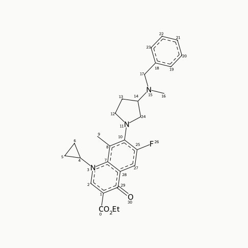 CCOC(=O)c1cn(C2CC2)c2c(C)c(N3CCC(N(C)Cc4ccccc4)C3)c(F)cc2c1=O